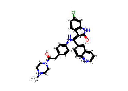 CN1CCN(C(=O)Cc2ccc(NC(=C3C(=O)Nc4cc(Cl)ccc43)c3ccc4ncccc4c3)cc2)CC1